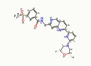 C[C@@H]1CN(c2cccc(-c3ccc4cnc(CNC(=O)c5cccc(S(=O)(=O)C(F)(F)F)c5)cc4n3)n2)C[C@H](C)O1